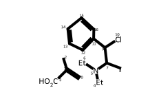 C=C(C)C(=O)O.CCN(CC)C(C)C(Cl)c1ccccc1